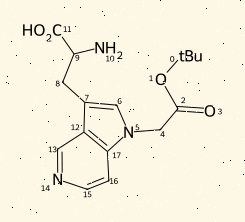 CC(C)(C)OC(=O)Cn1cc(CC(N)C(=O)O)c2cnccc21